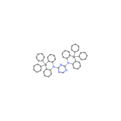 c1ccc([Si]2(c3ccccc3)c3ccccc3N(c3ncnc(N4c5ccccc5[Si](c5ccccc5)(c5ccccc5)c5ccccc54)n3)c3ccccc32)cc1